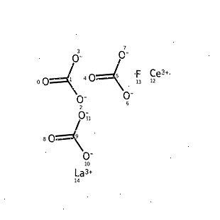 O=C([O-])[O-].O=C([O-])[O-].O=C([O-])[O-].[Ce+3].[F].[La+3]